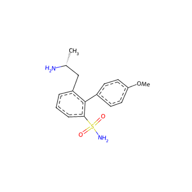 COc1ccc(-c2c(C[C@@H](C)N)cccc2S(N)(=O)=O)cc1